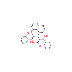 O=c1oc2ccccc2c(O)c1C(c1c(O)c2ccccc2oc1=O)c1ccnc2ccccc12